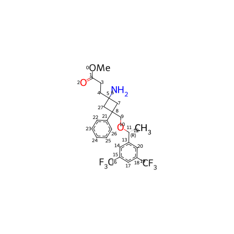 COC(=O)CCC1(N)CC(CO[C@H](C)c2cc(C(F)(F)F)cc(C(F)(F)F)c2)(c2ccccc2)C1